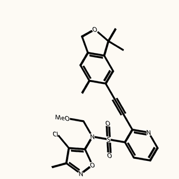 COCN(c1onc(C)c1Cl)S(=O)(=O)c1cccnc1C#Cc1cc2c(cc1C)COC2(C)C